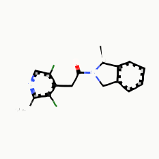 COc1ncc(Cl)c(CC(=O)N2Cc3ccccc3[C@@H]2C)c1Cl